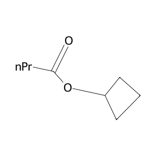 CCCC(=O)OC1CCC1